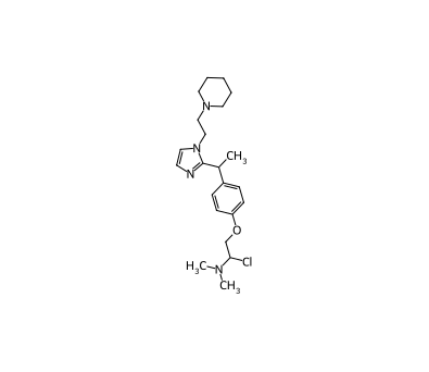 CC(c1ccc(OCC(Cl)N(C)C)cc1)c1nccn1CCN1CCCCC1